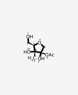 CC(=O)O[C@]1(O)CO[C@H](CO)[C@@]1(C)O